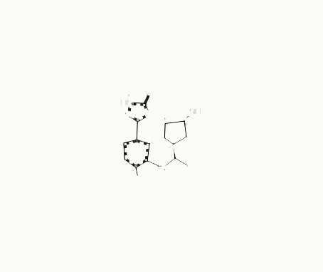 CC(Nc1cc(-c2n[nH]c(=O)o2)ccc1C(F)(F)F)[C@H]1CC[C@@H](N)C1